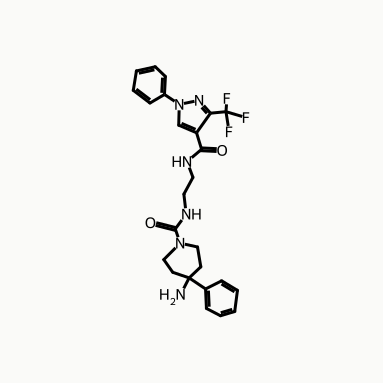 NC1(c2ccccc2)CCN(C(=O)NCCNC(=O)c2cn(-c3ccccc3)nc2C(F)(F)F)CC1